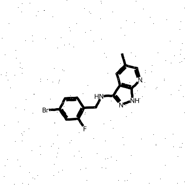 Cc1cnc2[nH]nc(NCc3ccc(Br)cc3F)c2c1